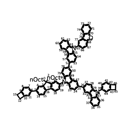 CCCCCCCCC1(CCCCCCCC)c2cc(-c3ccc4c(c3)CC4)ccc2-c2ccc(-n3c4ccc(-c5ccc6c(c5)c5ccccc5n6-c5ccc6c(c5)CC6)cc4c4cc(-c5ccc6c(c5)c5ccccc5n6-c5ccc6oc7ccccc7c6c5)ccc43)cc21